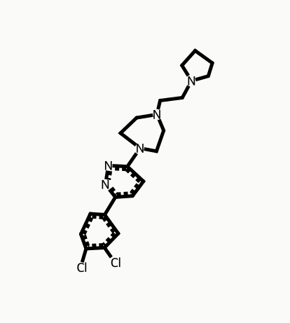 Clc1ccc(-c2ccc(N3CCN(CCN4CCCC4)CC3)nn2)cc1Cl